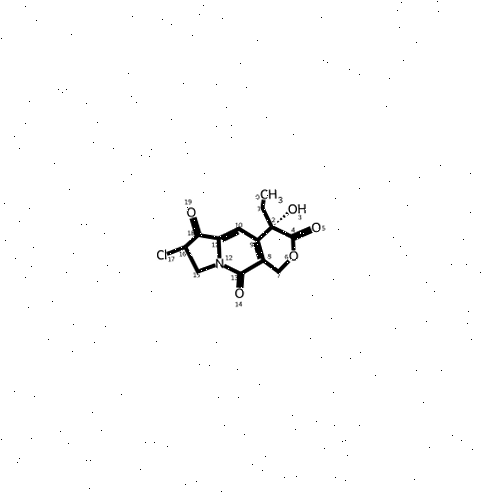 CC[C@@]1(O)C(=O)OCc2c1cc1n(c2=O)CC(Cl)C1=O